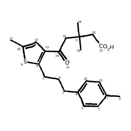 Cc1ccc(CCCc2sc(C)cc2C(=O)CC(C)(C)CC(=O)O)cc1